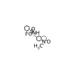 CCN1C(=O)CCc2cc(CNS(=O)(=O)c3ccccc3F)ccc21